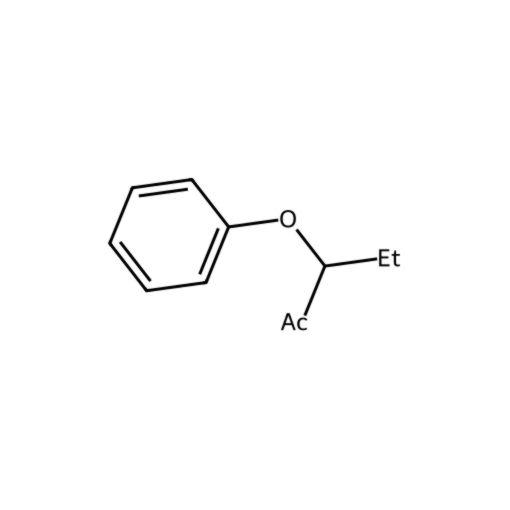 CCC(Oc1ccccc1)C(C)=O